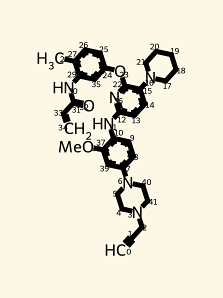 C#CCN1CCN(c2ccc(Nc3ccc(N4CCCCC4)c(Oc4ccc(C)c(NC(=O)C=C)c4)n3)c(OC)c2)CC1